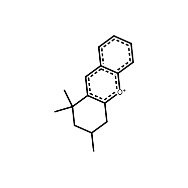 CC1Cc2[o+]c3ccccc3cc2C(C)(C)C1